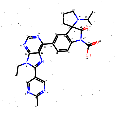 CCn1c(-c2cnc(C)nc2)nc2c(-c3ccc4c(c3)C3(CCCN3C(C)C)C(=O)N4C(=O)O)ncnc21